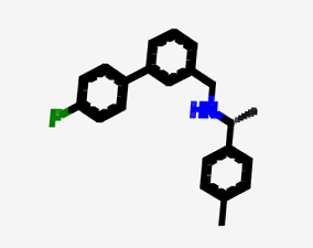 Cc1ccc([C@@H](C)NCc2cccc(-c3ccc(F)cc3)c2)cc1